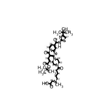 CN(CCCCC(=O)N1CCN(c2nc3cc(C(=O)Nc4nc(C(C)(C)C)cs4)ccn3c(=O)c2/C=C/C(=O)OC(C)(C)C)CC1)CC(=O)O